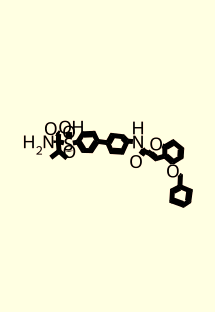 CC(C)[C@](N)(C(=O)O)S(=O)(=O)c1ccc(-c2ccc(NC(=O)c3cc4c(OCc5ccccc5)cccc4o3)cc2)cc1